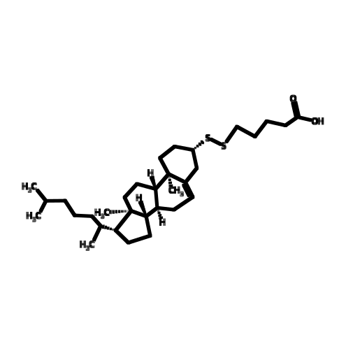 CC(C)CCCC(C)[C@H]1CC[C@H]2[C@@H]3CC=C4C[C@@H](SSCCCCC(=O)O)CC[C@]4(C)[C@H]3CC[C@]12C